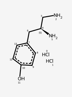 Cl.Cl.NC[C@@H](N)Cc1ccc(O)cc1